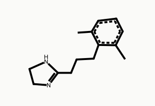 Cc1cccc(C)c1CCCC1=NCCN1